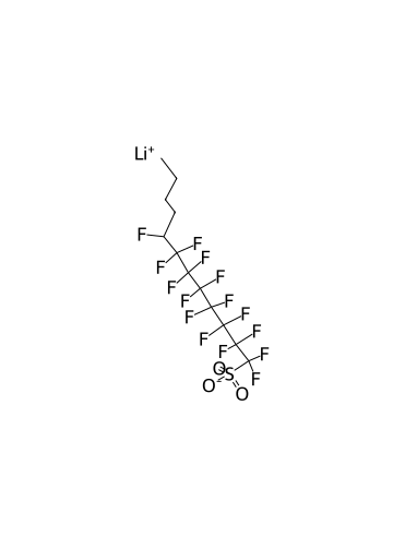 CCCCC(F)C(F)(F)C(F)(F)C(F)(F)C(F)(F)C(F)(F)C(F)(F)C(F)(F)S(=O)(=O)[O-].[Li+]